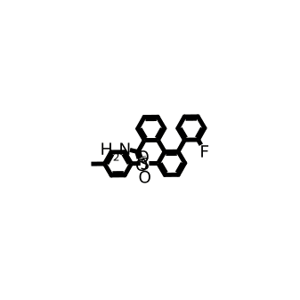 Cc1ccc(S(=O)(=O)c2cccc(-c3ccccc3F)c2-c2ccccc2C(N)=O)cc1